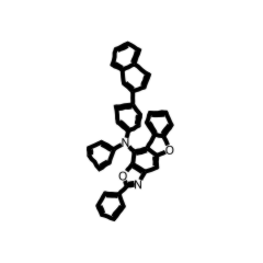 c1ccc(-c2nc3cc4oc5ccccc5c4c(N(c4ccccc4)c4ccc(-c5ccc6ccccc6c5)cc4)c3o2)cc1